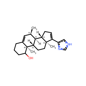 C[C@@H]1C=C2CCCC(O)[C@]2(C)[C@H]2CC[C@]3(C)C(c4c[nH]cn4)=CC[C@H]3[C@H]12